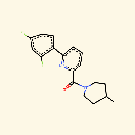 CC1CCN(C(=O)c2cccc(-c3ccc(F)cc3F)n2)CC1